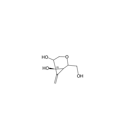 C=C1C2C(CO)OCC(O)[C@@]12O